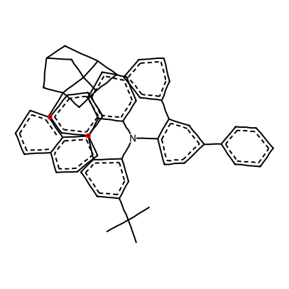 CC(C)(C)c1ccc(-c2ccccc2)c(N(c2ccc(-c3ccccc3)cc2-c2ccccc2)c2ccccc2-c2cccc3cccc(C45CC6CC7CC(C4)C75C6)c23)c1